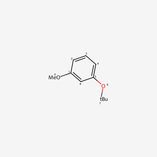 COc1cccc(OC(C)(C)C)c1